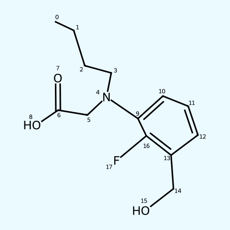 CCCCN(CC(=O)O)c1cccc(CO)c1F